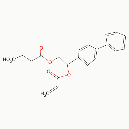 C=CC(=O)OC(COC(=O)CCC(=O)O)c1ccc(-c2ccccc2)cc1